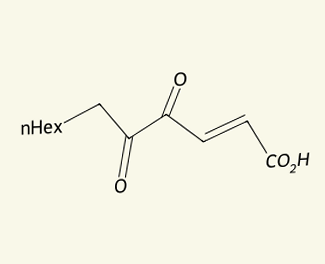 CCCCCCCC(=O)C(=O)C=CC(=O)O